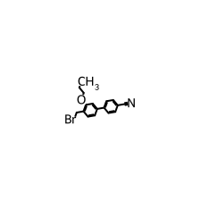 CCCOc1cc(-c2ccc(C#N)cc2)ccc1CBr